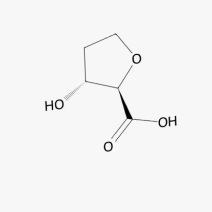 O=C(O)[C@@H]1OCC[C@H]1O